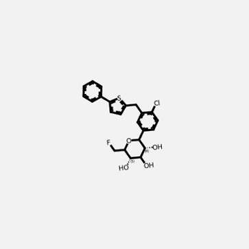 OC1[C@H](O)C(CF)OC(c2ccc(Cl)c(Cc3ccc(-c4ccccc4)s3)c2)[C@@H]1O